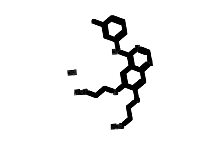 COCCOc1cc2ncnc(Nc3cccc(C)c3)c2cc1OCCOC.Cl